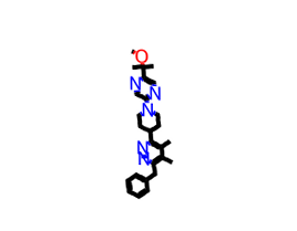 COC(C)(C)c1cnc(N2CCC(c3nnc(Cc4ccccc4)c(C)c3C)CC2)cn1